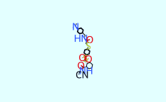 CN(C)c1ccc(CNC(=O)CSc2ccc(S(=O)(=O)C[C@@H]3CCCC[C@H]3C(=O)NCC#N)cc2)cc1